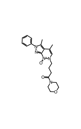 Cc1cn(CCCC(=O)N2CCOCC2)[n+](=O)c2nn(-c3ccccc3)c(C)c12